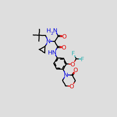 CC(C)(C)CN(C1CC1)C(C(N)=O)C(=O)Nc1ccc(N2CCOCC2=O)c(OC(F)F)c1